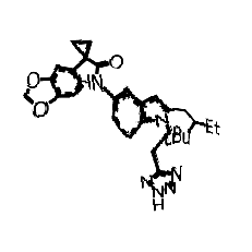 CCC(Cc1cc2cc(NC(=O)C3(c4ccc5c(c4)OCO5)CC3)ccc2n1CCc1nn[nH]n1)C(C)(C)C